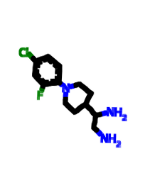 NCC(N)C1CCN(c2ccc(Cl)cc2F)CC1